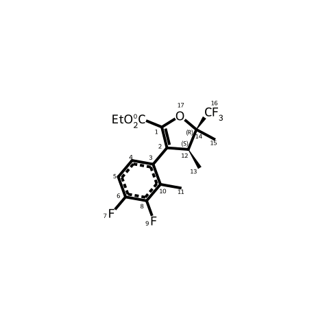 CCOC(=O)C1=C(c2ccc(F)c(F)c2C)[C@H](C)[C@](C)(C(F)(F)F)O1